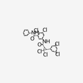 O=C(Nc1ccccc1)c1cc(NC(=O)C2C(c3cc(Cl)cc(Cl)c3)C2(Cl)Cl)cc(Cl)c1Cl